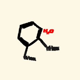 CCCCCCc1ccccc1CCCCCC.O